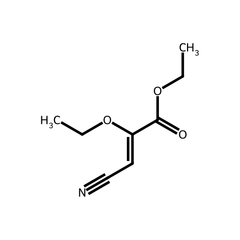 CCOC(=O)C(=CC#N)OCC